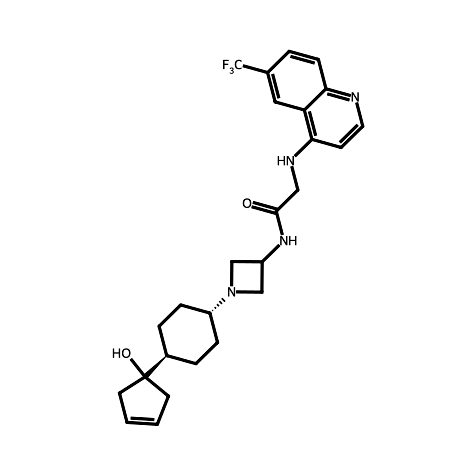 O=C(CNc1ccnc2ccc(C(F)(F)F)cc12)NC1CN([C@H]2CC[C@H](C3(O)CC=CC3)CC2)C1